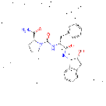 NC(=O)[C@@H]1CCCN1C(=O)N[C@@H](Cc1ccccc1)C(=O)N[C@H]1c2ccccc2C[C@H]1O